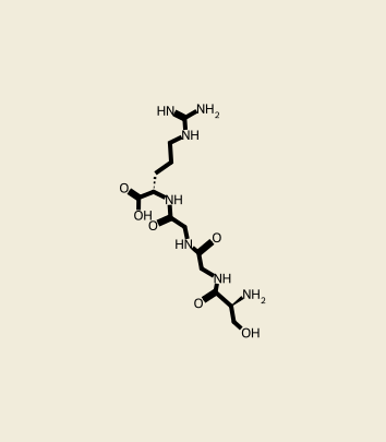 N=C(N)NCCC[C@H](NC(=O)CNC(=O)CNC(=O)[C@@H](N)CO)C(=O)O